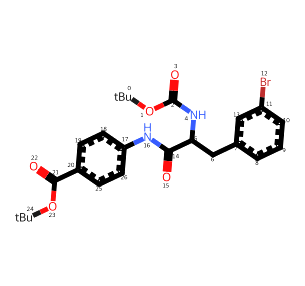 CC(C)(C)OC(=O)NC(Cc1cccc(Br)c1)C(=O)Nc1ccc(C(=O)OC(C)(C)C)cc1